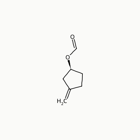 C=C1CC[C@H](OC=O)C1